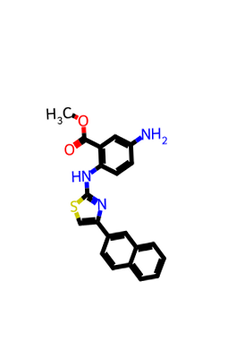 COC(=O)c1cc(N)ccc1Nc1nc(-c2ccc3ccccc3c2)cs1